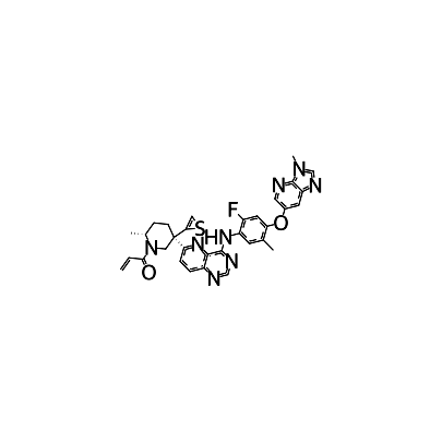 C=CC(=O)N1C[C@@](C2=CS2)(c2ccc3ncnc(Nc4cc(C)c(Oc5cnc6c(c5)ncn6C)cc4F)c3n2)CC[C@H]1C